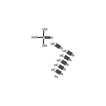 C#N.C#N.C#N.C#N.C#N.C#N.O=P(O)(O)O.[Fe]